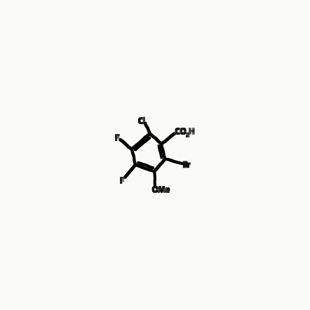 COc1c(F)c(F)c(Cl)c(C(=O)O)c1Br